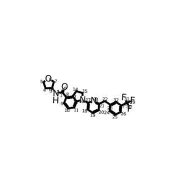 O=C(N[C@H]1CCOC1)c1cccc2c1CCN2c1cccc(Cc2cccc(C(F)(F)F)c2)n1